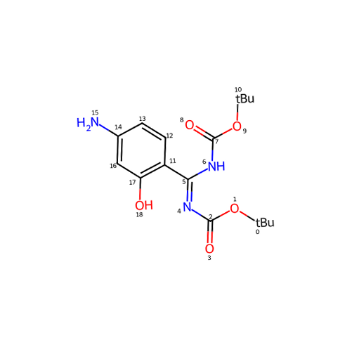 CC(C)(C)OC(=O)N=C(NC(=O)OC(C)(C)C)c1ccc(N)cc1O